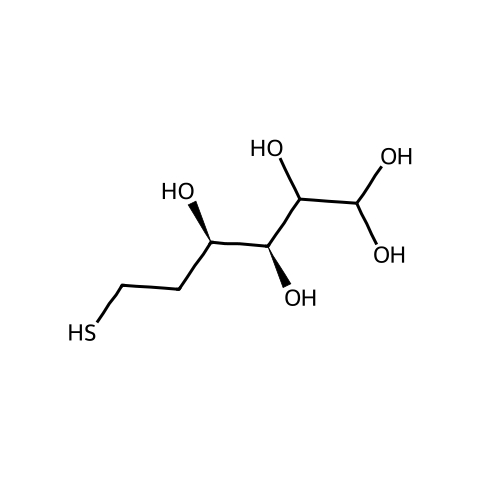 OC(O)C(O)[C@@H](O)[C@H](O)CCS